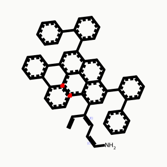 C=C/C(=C\C=C/N)c1cc(-c2ccccc2-c2ccccc2)c2ccc3c(-c4ccccc4-c4ccccc4)cc(-c4ccccc4-c4ccccc4)c4ccc1c2c43